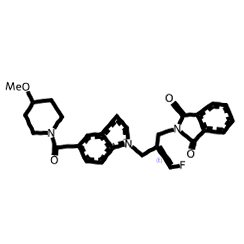 COC1CCN(C(=O)c2ccc3c(ccn3C/C(=C/F)CN3C(=O)c4ccccc4C3=O)c2)CC1